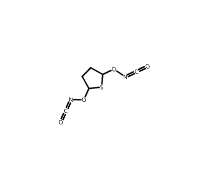 O=C=NOC1CCC(ON=C=O)S1